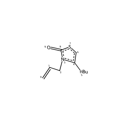 C=CCn1c(CCCC)csc1=O